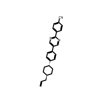 C=CC[C@H]1CC[C@H](c2ccc(-c3cnc(-c4ccc(C#N)cc4)nc3)cc2)CC1